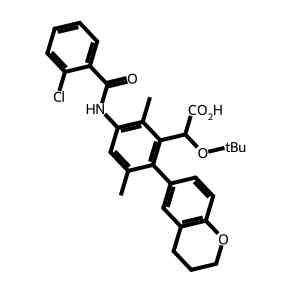 Cc1cc(NC(=O)c2ccccc2Cl)c(C)c(C(OC(C)(C)C)C(=O)O)c1-c1ccc2c(c1)CCCO2